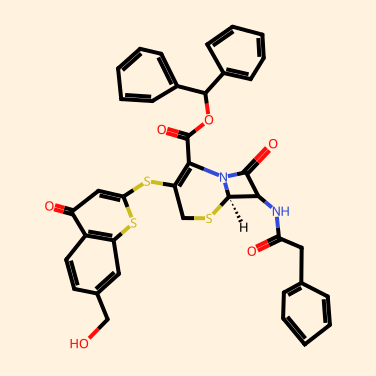 O=C(Cc1ccccc1)NC1C(=O)N2C(C(=O)OC(c3ccccc3)c3ccccc3)=C(Sc3cc(=O)c4ccc(CO)cc4s3)CS[C@H]12